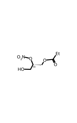 CCC(=O)OC[C@H](CO)O[N+](=O)[O-]